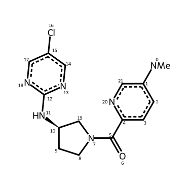 CNc1ccc(C(=O)N2CC[C@@H](Nc3ncc(Cl)cn3)C2)nc1